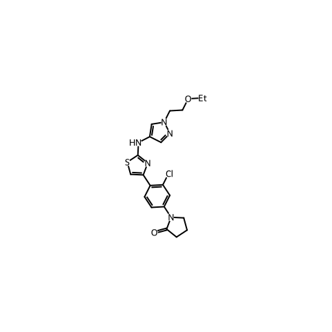 CCOCCn1cc(Nc2nc(-c3ccc(N4CCCC4=O)cc3Cl)cs2)cn1